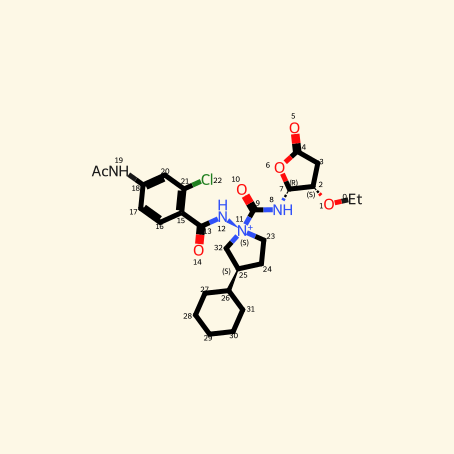 CCO[C@H]1CC(=O)O[C@H]1NC(=O)[N@+]1(NC(=O)c2ccc(NC(C)=O)cc2Cl)CC[C@@H](C2CCCCC2)C1